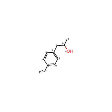 CCCc1ccc(CC(C)O)cc1